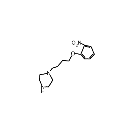 O=[N+]([O-])c1ccccc1OCCCCN1CCNCC1